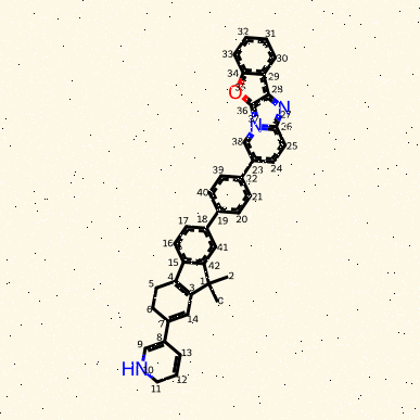 CC1(C)C2=C(CCC(C3=CNCC=C3)=C2)c2ccc(-c3ccc(-c4ccc5nc6c7ccccc7oc6n5c4)cc3)cc21